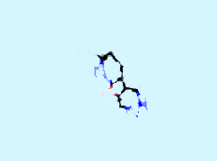 Cc1ccc2c(n1)oc1cnncc12